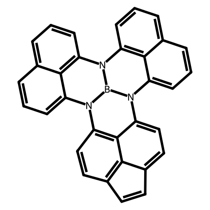 C1=Cc2ccc3c4c(ccc1c24)N1B2N(c4cccc5cccc1c45)c1cccc4cccc(c14)N23